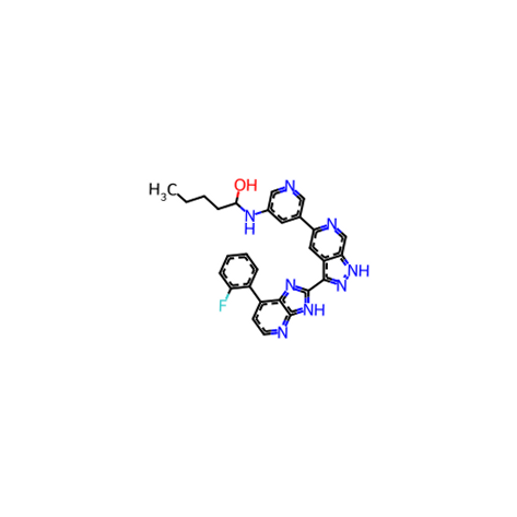 CCCCC(O)Nc1cncc(-c2cc3c(-c4nc5c(-c6ccccc6F)ccnc5[nH]4)n[nH]c3cn2)c1